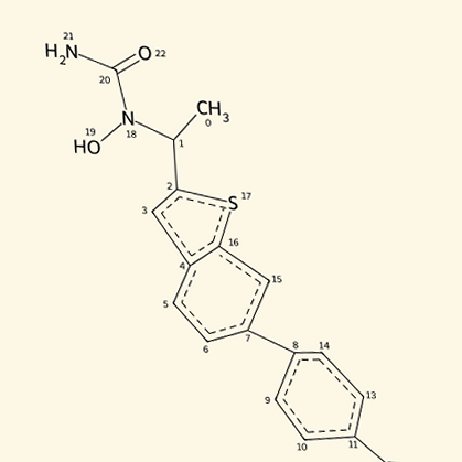 CC(c1cc2ccc(-c3ccc(F)cc3)cc2s1)N(O)C(N)=O